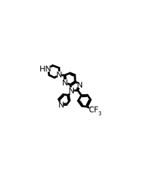 FC(F)(F)c1ccc(-c2nc3ccc(N4CCNCC4)nc3n2-c2ccncc2)cc1